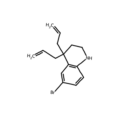 C=CCC1(CC=C)CCNc2ccc(Br)cc21